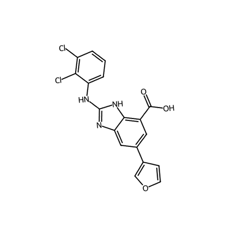 O=C(O)c1cc(-c2ccoc2)cc2nc(Nc3cccc(Cl)c3Cl)[nH]c12